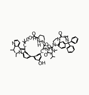 CCn1c(-c2cccnc2C(C)C)c2c3cc(ccc31)-c1cc(O)cc(c1)C[C@H](NC(=O)[C@H](C(C)C)N(C)C(=O)N1CCN(C(=O)[C@H]3CN3C(c3ccccc3)(c3ccccc3)c3ccccc3)CC1)C(=O)N1CCC[C@H](N1)C(=O)OCC(C)(C)C2